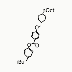 CCCCCCCC[C@H]1CC[C@H](COc2ccc(C(=O)Oc3ccc(C[C@@H](C)CC)cc3)cc2)CC1